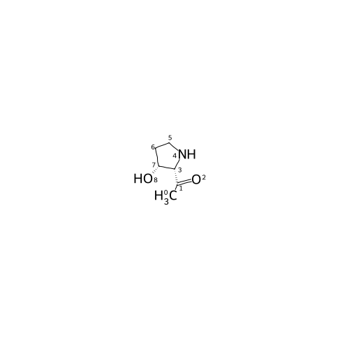 CC(=O)[C@H]1NCC[C@H]1O